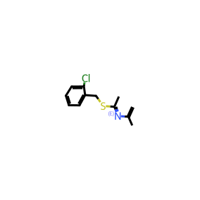 C=C(C)/N=C(\C)SCc1ccccc1Cl